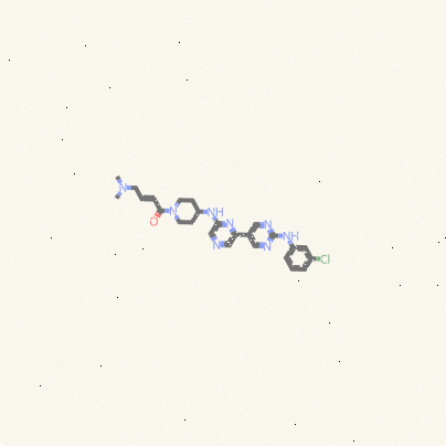 CN(C)C/C=C/C(=O)N1CCC(Nc2cncc(-c3cnc(Nc4cccc(Cl)c4)nc3)n2)CC1